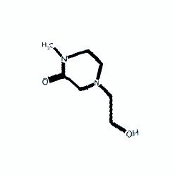 CN1CCN(CCO)CC1=O